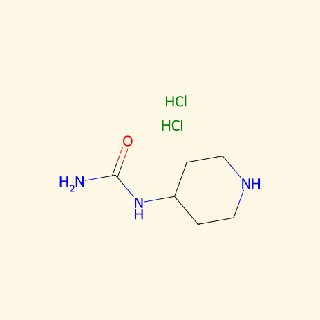 Cl.Cl.NC(=O)NC1CCNCC1